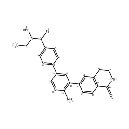 CCCN(CC(F)(F)F)C(CC)c1ccc(-c2cnc(N)c(-c3ccc4c(c3)CCNC4=O)c2)cc1